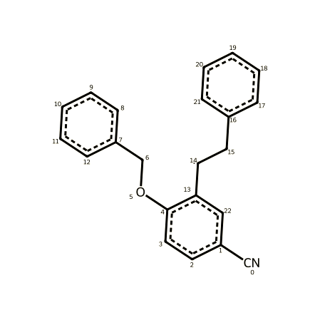 N#Cc1ccc(OCc2ccccc2)c([CH]Cc2ccccc2)c1